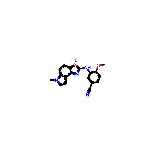 COc1ccc(C#N)cc1Nc1nc2c(ccc3c2ccn3C)s1.Cl